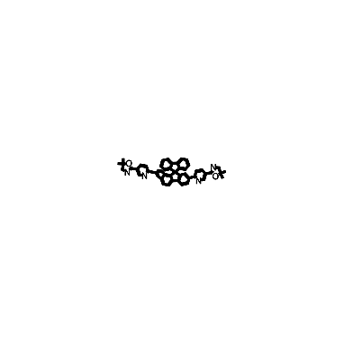 CC1(C)CN=C(c2ccc(-c3ccc4c(c3)C3(c5ccccc5-c5ccccc53)c3c-4ccc4cc(-c5ccc(C6=NCC(C)(C)O6)cn5)ccc34)nc2)O1